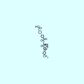 Cc1ccc(-n2cc(C(=O)NCCC(=O)Nc3ccc([C@H]4CC[C@H](CC(=O)O)CC4)cc3)c(C(F)(F)F)n2)cc1